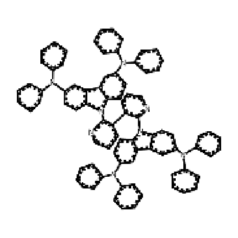 c1ccc(N(c2ccccc2)c2ccc3c(c2)c2cc(N(c4ccccc4)c4ccccc4)ccc2n3-c2ncccc2-c2cccnc2-n2c3ccc(N(c4ccccc4)c4ccccc4)cc3c3cc(N(c4ccccc4)c4ccccc4)ccc32)cc1